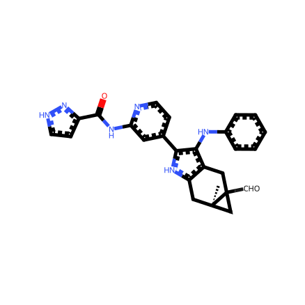 C[C@]12Cc3[nH]c(-c4ccnc(NC(=O)c5cc[nH]n5)c4)c(Nc4ccccc4)c3CC1(C=O)C2